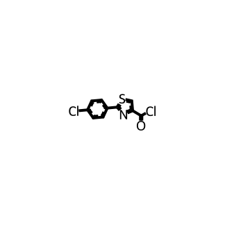 O=C(Cl)c1csc(-c2ccc(Cl)cc2)n1